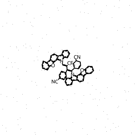 N#Cc1ccc(C(/C(=C/n2c3ccccc3c3ccc4c5ccccc5oc4c32)C(F)(F)F)=C(/C2C=CCC(C#N)C2)n2c3ccccc3c3ccc4c5ccccc5oc4c32)cc1